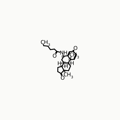 CCCCCC(=O)N[C@@H]1C[C@@H]2[C@H](CC[C@]3(C)C(=O)CC[C@@H]23)[C@@]2(C)C=CC(=O)C=C12